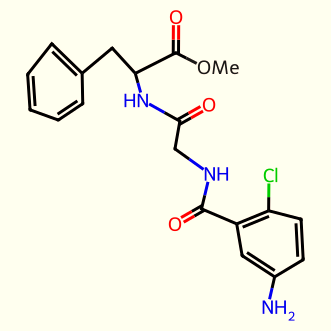 COC(=O)C(Cc1ccccc1)NC(=O)CNC(=O)c1cc(N)ccc1Cl